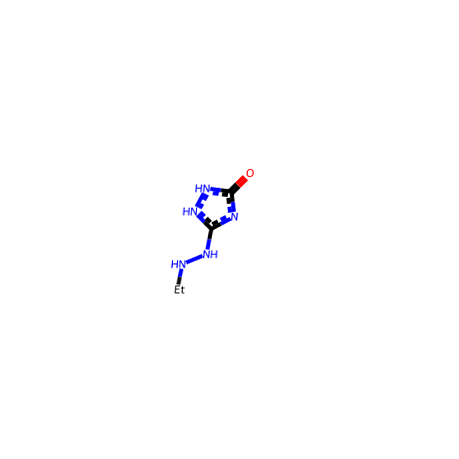 CCNNc1nc(=O)[nH][nH]1